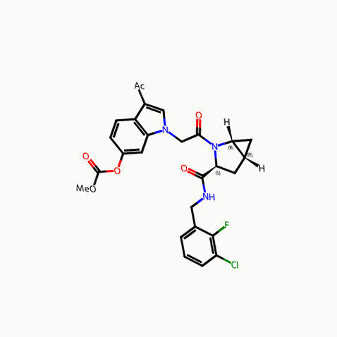 COC(=O)Oc1ccc2c(C(C)=O)cn(CC(=O)N3[C@@H]4C[C@@H]4C[C@H]3C(=O)NCc3cccc(Cl)c3F)c2c1